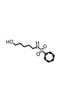 O=S(=O)(NCCCCCO)c1ccccc1